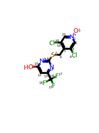 [O-][n+]1cc(Cl)c(CSc2nc(O)cc(C(F)(F)F)n2)c(Cl)c1